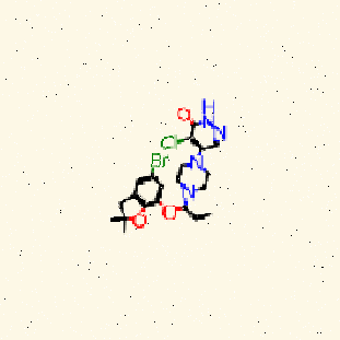 CCC(Oc1cc(Br)cc2c1OC(C)(C)C2)N1CCN(c2cn[nH]c(=O)c2Cl)CC1